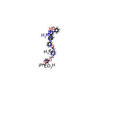 CC(C)C(C(=O)O)c1cc(OCCN2CCN(CCOc3cc(N4CC5CCCC4CN5c4cc(-c5ccccc5O)nnc4N)ccn3)[C@H](C)C2)no1